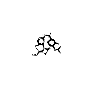 C[C@H](Nc1ncc(F)c(N2C(=O)OC[C@@H]2[C@@H](C)OC(C)(C)C)n1)c1ccc(OC(F)F)c(F)c1